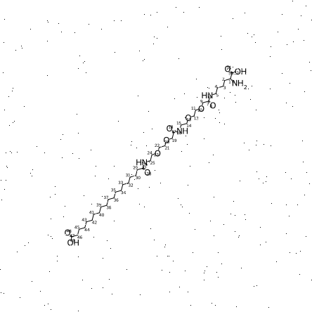 N[C@@H](CCCCNC(=O)COCCOCCNC(=O)COCCOCCNC(=O)CCCCCCCCCCCCCCCCCCC(=O)O)C(=O)O